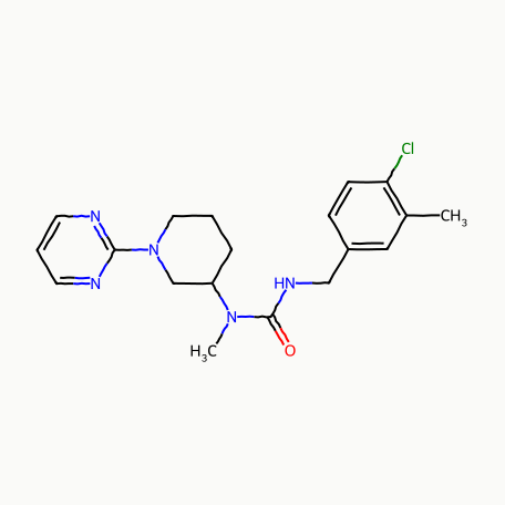 Cc1cc(CNC(=O)N(C)C2CCCN(c3ncccn3)C2)ccc1Cl